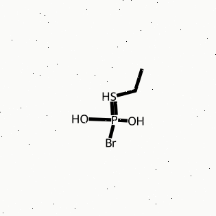 CC[SH]=P(O)(O)Br